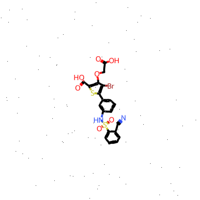 N#Cc1ccccc1S(=O)(=O)Nc1cccc(-c2sc(C(=O)O)c(OCC(=O)O)c2Br)c1